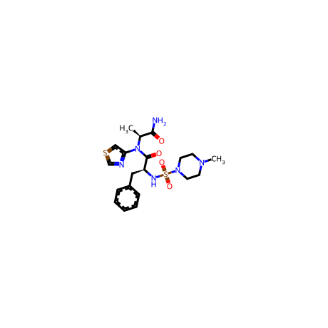 C[C@@H](C(N)=O)N(C(=O)[C@H](Cc1ccccc1)NS(=O)(=O)N1CCN(C)CC1)c1cscn1